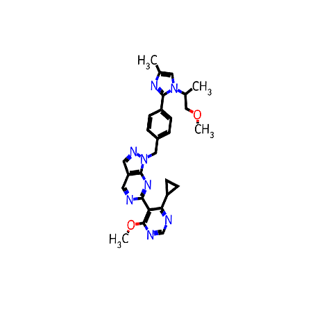 COCC(C)n1cc(C)nc1-c1ccc(Cn2ncc3cnc(-c4c(OC)ncnc4C4CC4)nc32)cc1